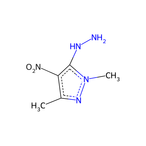 Cc1nn(C)c(NN)c1[N+](=O)[O-]